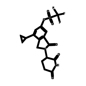 O=C1CCC(N2Cc3c(cc(OS(=O)(=O)C(F)(F)F)cc3C3CC3)C2=O)C(=O)N1